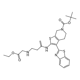 C=C(CCNCC(=O)OCC)Nc1sc2c(c1-c1nc3ccccc3s1)CCN(C(=O)OC(C)(C)C)C2